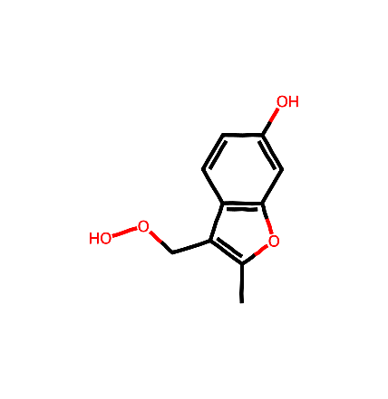 Cc1oc2cc(O)ccc2c1COO